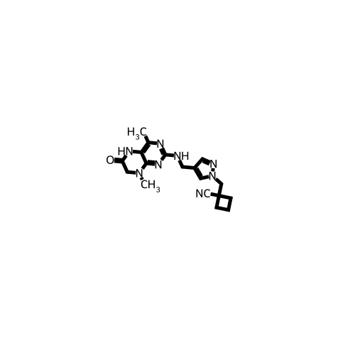 Cc1nc(NCc2cnn(CC3(C#N)CCC3)c2)nc2c1NC(=O)CN2C